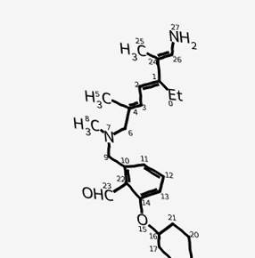 CCC(=C\C=C(/C)CN(C)Cc1cccc(OC2CCCCC2)c1C=O)/C(C)=C/N